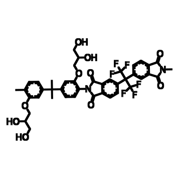 Cc1ccc(C(C)(C)c2ccc(N3C(=O)c4ccc(C(c5ccc6c(c5)C(=O)N(C)C6=O)(C(F)(F)F)C(F)(F)F)cc4C3=O)c(OCC(O)CO)c2)cc1OCC(O)CO